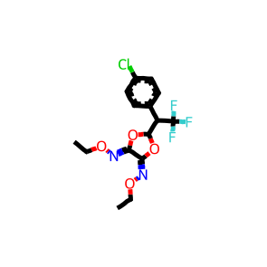 CCON=C1OC(C(c2ccc(Cl)cc2)C(F)(F)F)OC1=NOCC